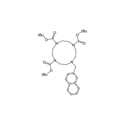 CC(C)(C)OC(=O)N1CCN(Cc2ccc3ccccc3c2)CCN(C(=O)OC(C)(C)C)CCN(C(=O)OC(C)(C)C)CC1